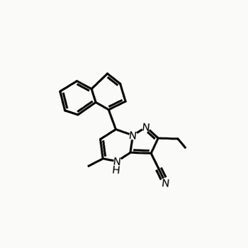 CCc1nn2c(c1C#N)NC(C)=CC2c1cccc2ccccc12